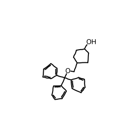 OC1CCC(COC(c2ccccc2)(c2ccccc2)c2ccccc2)CC1